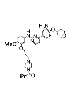 COc1ccc(Nc2nccc(-c3ccc(OC4CCOCC4)c(N)c3)n2)cc1OCCCN1CCN(C(=O)C(C)C)CC1